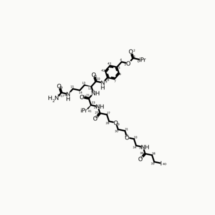 CC(C)C(=O)OCc1ccc(NC(=O)[C@H](CCCNC(N)=O)NC(=O)[C@@H](NC(=O)CCOCCOCCNC(=O)CCI)C(C)C)cc1